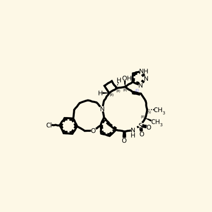 C[C@@H]1[C@@H](C)C/C=C/[C@@](O)(c2c[nH]nn2)[C@@H]2CC[C@H]2CN2CCCCc3cc(Cl)ccc3COc3ccc(cc32)C(=O)NS1(=O)=O